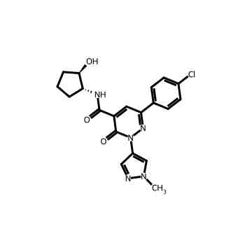 Cn1cc(-n2nc(-c3ccc(Cl)cc3)cc(C(=O)N[C@@H]3CCC[C@H]3O)c2=O)cn1